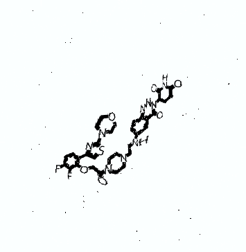 O=C1CCC(n2nnc3ccc(NCCN4CCN(C(=O)COc5c(-c6csc(N7CCOCC7)n6)ccc(F)c5F)CC4)cc3c2=O)C(=O)N1